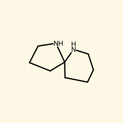 C1CCC2(CCCN2)NC1